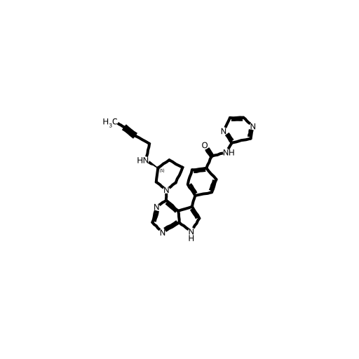 CC#CCN[C@H]1CCCN(c2ncnc3[nH]cc(-c4ccc(C(=O)Nc5cnccn5)cc4)c23)C1